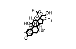 CCC(=O)O[C@@]1(C(=O)CO)[C@H](C)C[C@H]2[C@H]3[C@H]([C@@H](O)C[C@@]21C)[C@@]1(C)C=CC(=O)C=C1C[C@H]3Br